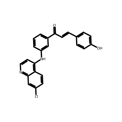 O=C(C=Cc1ccc(O)cc1)c1cccc(Nc2ccnc3cc(Cl)ccc23)c1